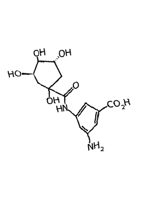 Nc1cc(NC(=O)C2(O)C[C@@H](O)C(O)[C@H](O)C2)cc(C(=O)O)c1